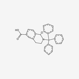 O=C(O)c1ccc2c(c1)CCN(C(c1ccccc1)(c1ccccc1)c1ccccc1)C2Cl